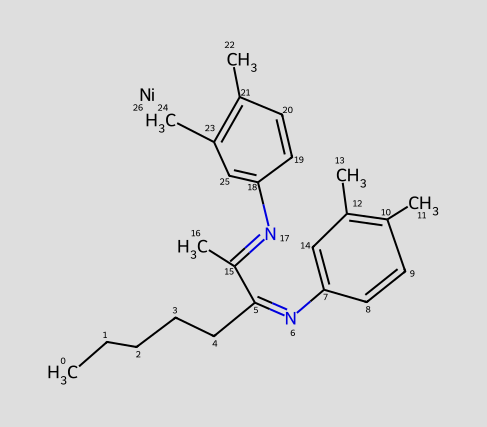 CCCCCC(=Nc1ccc(C)c(C)c1)C(C)=Nc1ccc(C)c(C)c1.[Ni]